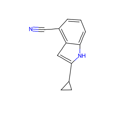 N#Cc1cccc2[nH]c(C3CC3)cc12